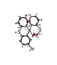 Brc1ccc2c(c1)C1(c3ccccc3Oc3ccccc31)c1ccccc1S2